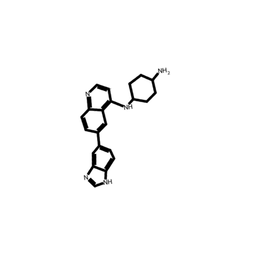 NC1CCC(Nc2[c]cnc3ccc(-c4ccc5[nH]cnc5c4)cc23)CC1